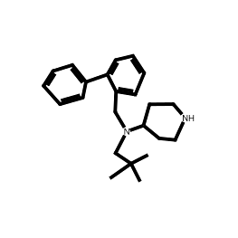 CC(C)(C)CN(Cc1ccccc1-c1ccccc1)C1CCNCC1